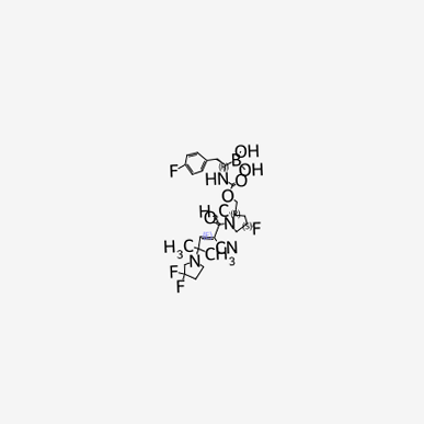 CC(C)(/C=C(\C#N)C(=O)N1C[C@@H](F)C[C@]1(C)COC(=O)N[C@@H](Cc1ccc(F)cc1)B(O)O)N1CCC(F)(F)C1